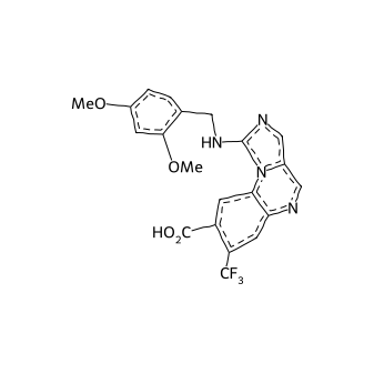 COc1ccc(CNc2ncc3cnc4cc(C(F)(F)F)c(C(=O)O)cc4n23)c(OC)c1